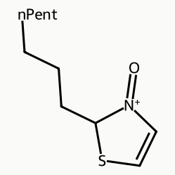 CCCCCCCCC1SC=C[N+]1=O